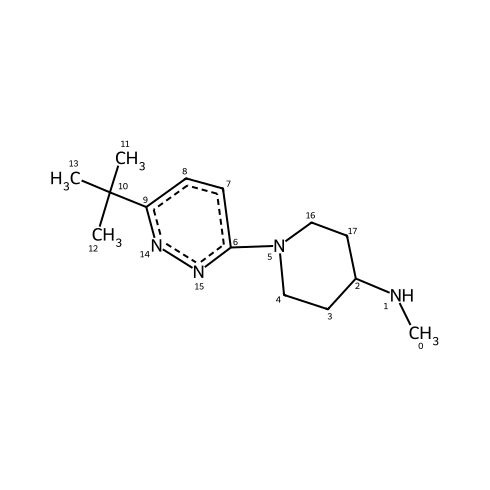 CNC1CCN(c2ccc(C(C)(C)C)nn2)CC1